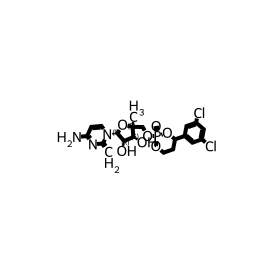 C=C1N=C(N)C=CN1[C@@H]1O[C@](C)(COP2(=O)OCCC(c3cc(Cl)cc(Cl)c3)O2)[C@@H](O)[C@H]1O